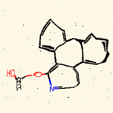 OBOc1nccc2c3ccccc3c3ccccc3c12